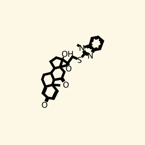 Cn1c(SCC(=O)[C@@]2(O)CCC3C4CCC5=CC(=O)C=CC5(C)C4C(=O)CC32C)nc2ccccc21